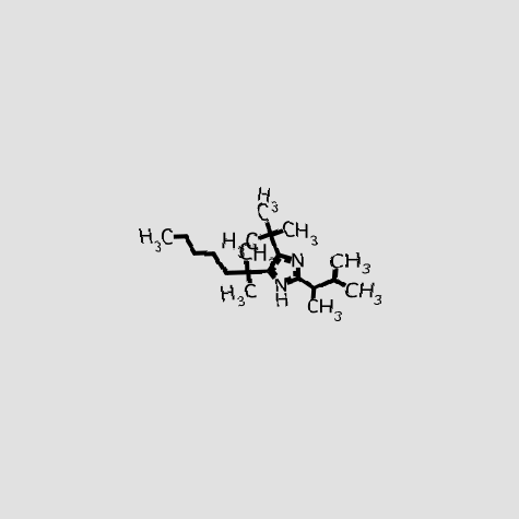 CCCCCC(C)(C)c1[nH]c(C(C)C(C)C)nc1C(C)(C)C